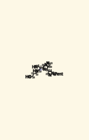 CCC[C@@H](C)n1cc(-c2nc(/C(C=N)=C/NCCCO)cn3nccc23)cn1